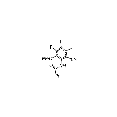 COc1c(F)c(I)c(C)c(C#N)c1NC(=O)C(C)C